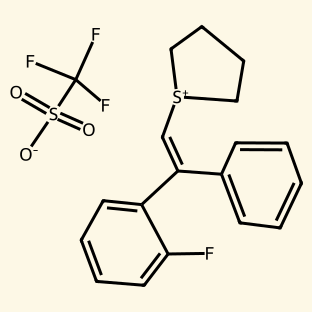 Fc1ccccc1C(=C[S+]1CCCC1)c1ccccc1.O=S(=O)([O-])C(F)(F)F